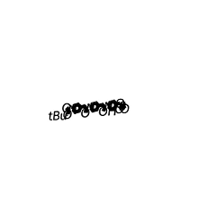 CC(C)(C)OC(=O)N1CCC(CC(=O)N2CCC(CC(O)N3CCC(OS(C)(=O)=O)CC3)CC2)CC1